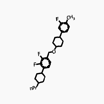 CCCC1CCC(c2ccc(COC3CCC(c4ccc(C)c(F)c4)CC3)c(F)c2F)CC1